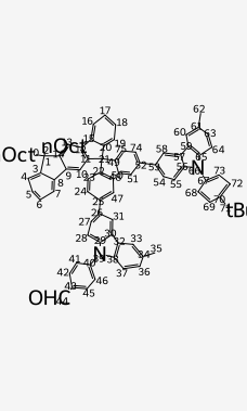 CCCCCCCCC1(CCCCCCCC)c2ccccc2-c2cc3c(cc21)-c1ccccc1C3(c1ccc(-c2ccc3c(c2)c2cc(C)ccc2n3-c2ccc(C=O)cc2)cc1)c1ccc(-c2ccc3c(c2)c2cc(C)ccc2n3-c2ccc(C(C)(C)C)cc2)cc1